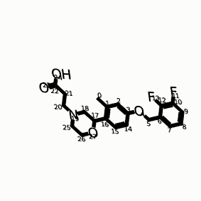 Cc1cc(OCc2cccc(F)c2F)ccc1C1CN(CCC(=O)O)CCO1